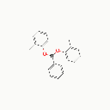 Cc1ccccc1OB(Oc1ccccc1C)c1ccccc1